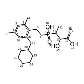 Cc1cc(C)c(CCP(=O)(O)C(C)C(O)C(=O)O)c(CC2CCCCC2)c1